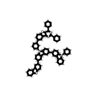 c1ccc(-c2nc(-c3ccccc3)c3oc4ccc(-c5cccc(-n6c7ccc(-c8ccc9oc%10ccccc%10c9c8)cc7c7cc(-c8ccc9c(c8)c8ccccc8n9-c8ccccc8)ccc76)c5)cc4c3n2)cc1